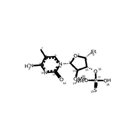 CC[C@H]1O[C@@H](n2cc(C)c(N)nc2=O)C(OC)[C@H]1OP(O)(=S)OC